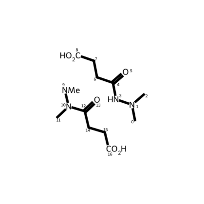 CN(C)NC(=O)CCC(=O)O.CNN(C)C(=O)CCC(=O)O